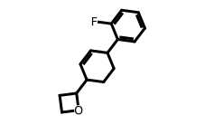 Fc1ccccc1C1C=CC(C2CCO2)CC1